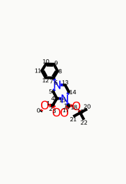 COC(=O)C1CN(c2ccccc2)CCN1C(=O)OC(C)(C)C